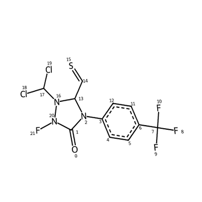 O=C1N(c2ccc(C(F)(F)F)cc2)C(C=S)N(C(Cl)Cl)N1F